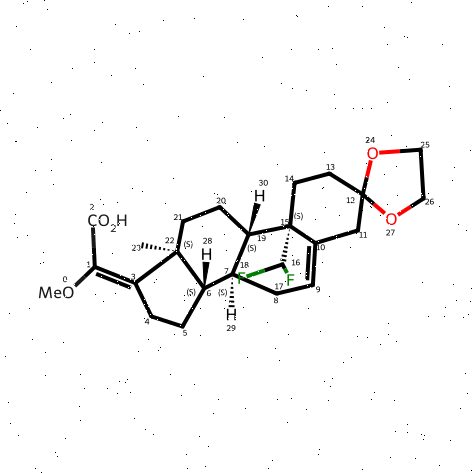 COC(C(=O)O)=C1CC[C@H]2[C@@H]3CC=C4CC5(CC[C@]4(C(F)F)[C@H]3CC[C@]12C)OCCO5